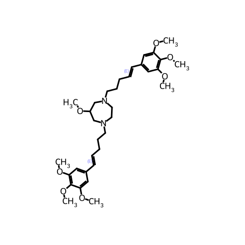 COc1cc(/C=C/CCCN2CCN(CCC/C=C/c3cc(OC)c(OC)c(OC)c3)CC(OC)C2)cc(OC)c1OC